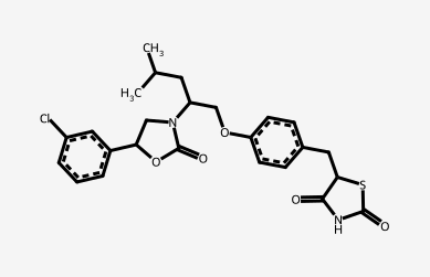 CC(C)CC(COc1ccc(CC2SC(=O)NC2=O)cc1)N1CC(c2cccc(Cl)c2)OC1=O